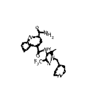 Cc1c(NC(=O)c2cc(C(N)=O)nc3ccccc23)c(C(F)(F)F)nn1Cc1ccncc1